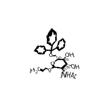 C=CCOC1O[C@H](COC(c2ccccc2)(c2ccccc2)c2ccccc2)[C@@H](O)[C@H](O)[C@H]1NC(C)=O